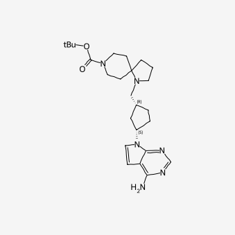 CC(C)(C)OC(=O)N1CCC2(CCCN2C[C@@H]2CC[C@H](n3ccc4c(N)ncnc43)C2)CC1